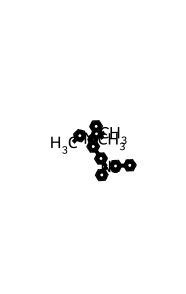 Cc1cccc(-n2c3c(c4cc(-c5ccc(N(c6c#cc(-c7ccccc7)cc6)c6ccccc6)cc5)ccc42)C(C)(C)c2ccccc2-3)c1